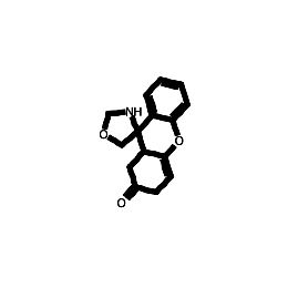 O=C1CC=C2Oc3ccccc3C3(COCN3)C2C1